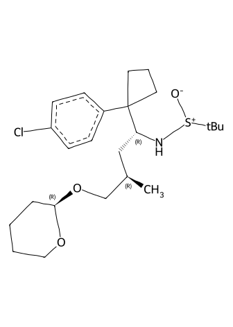 C[C@@H](CO[C@@H]1CCCCO1)C[C@@H](N[S+]([O-])C(C)(C)C)C1(c2ccc(Cl)cc2)CCC1